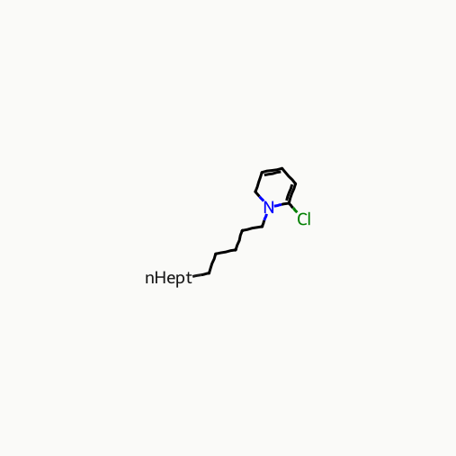 CCCCCCCCCCCCN1CC=CC=C1Cl